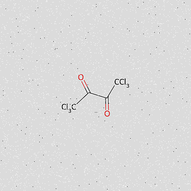 O=C(C(=O)C(Cl)(Cl)Cl)C(Cl)(Cl)Cl